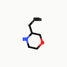 CO[CH]C1COCCN1